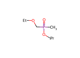 CCOCP(C)(=O)OC(C)C